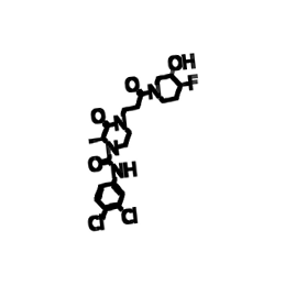 C[C@H]1C(=O)N(CCC(=O)N2CC[C@H](F)[C@@H](O)C2)CCN1C(=O)Nc1ccc(Cl)c(Cl)c1